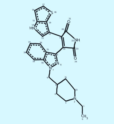 CCN1CCC(Cn2nc(C3=C(c4c[nH]c5ccsc45)C(=O)NC3=O)c3ccccc32)CC1